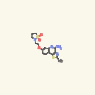 CCCc1nc2c(N)nc3cc(OCCN4CCCS4(=O)=O)ccc3c2s1